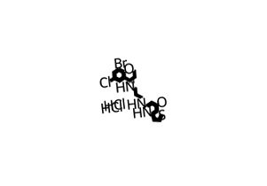 Cl.Cl.O=c1cc(NCCCN[C@@H]2CCOc3c(Br)cc(Cl)cc32)[nH]c2ccsc12